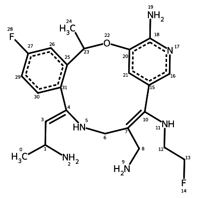 CC(N)/C=C1\NC/C(CN)=C(/NCCF)c2cnc(N)c(c2)OC(C)c2cc(F)ccc21